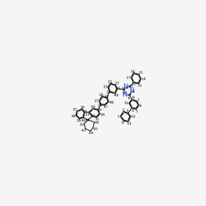 c1ccc(-c2cccc(-c3nc(-c4ccccc4)nc(-c4cccc(-c5ccc(-c6ccc7c(c6)-c6ccccc6C76CCCCC6)cc5)c4)n3)c2)cc1